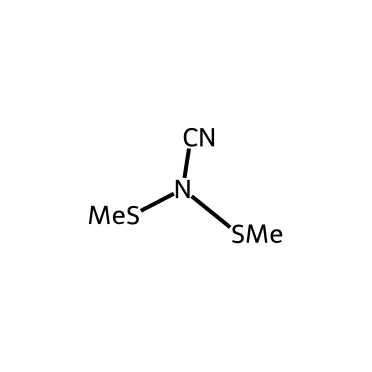 CSN(C#N)SC